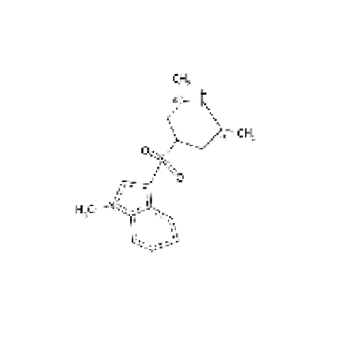 C[C@@H]1CC(S(=O)(=O)c2cn(C)c3ccccc23)C[C@H](C)N1